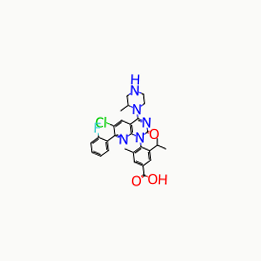 Cc1cc(C(=O)O)cc(C(C)C)c1-n1c(=O)nc(N2CCNCC2C)c2cc(Cl)c(-c3ccccc3F)nc21